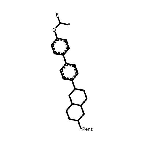 CCCCCC1CCC2CC(c3ccc(-c4ccc(OC(F)F)cc4)cc3)CCC2C1